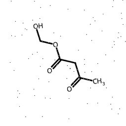 CC(=O)CC(=O)OCO